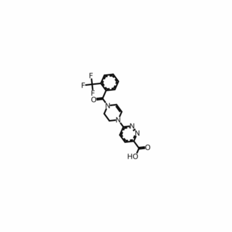 O=C(O)c1ccc(N2C=CN(C(=O)c3ccccc3C(F)(F)F)CC2)nn1